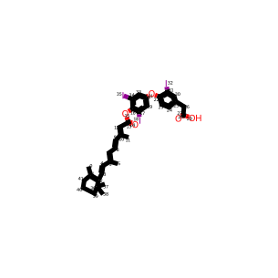 CC1=C(/C=C/C(C)=C/C=C/C(C)=C/C(=O)Oc2c(I)cc(Oc3ccc(CC(=O)O)cc3I)cc2I)C(C)(C)CCC1